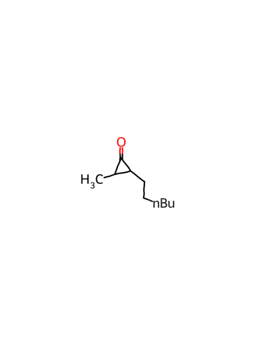 CCCCCCC1C(=O)C1C